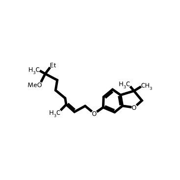 CCC(C)(CCCC(C)=CCOc1ccc2c(c1)OCC2(C)C)OC